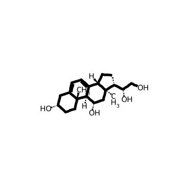 C[C@]12C[C@H](O)[C@@H]3C(=CC=C4C[C@@H](O)CC[C@]43C)[C@@H]1CC[C@@H]2[C@@H](O)CO